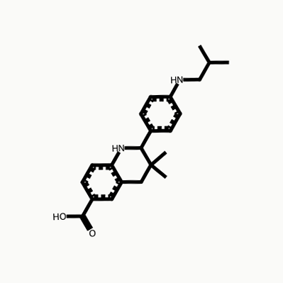 CC(C)CNc1ccc(C2Nc3ccc(C(=O)O)cc3CC2(C)C)cc1